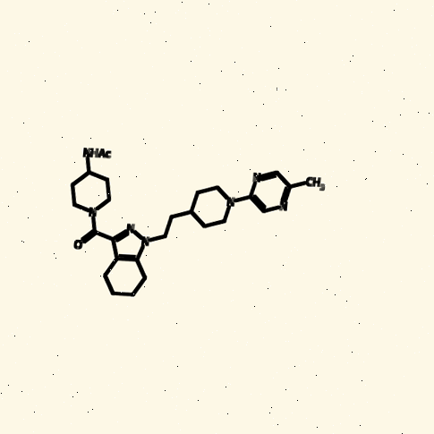 CC(=O)NC1CCN(C(=O)c2nn(CCC3CCN(c4cnc(C)cn4)CC3)c3c2CCCC3)CC1